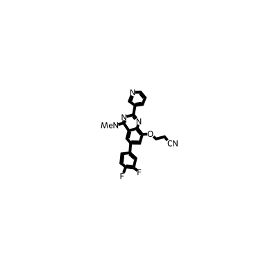 CNc1nc(-c2cccnc2)nc2c(OCCC#N)cc(-c3ccc(F)c(F)c3)cc12